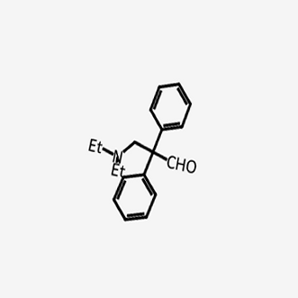 CCN(CC)CC(C=O)(c1ccccc1)c1ccccc1